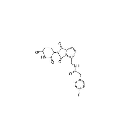 O=C(Cc1ccc(F)cc1)NCc1cccc2c1C(=O)N(C1CCC(=O)NC1=O)C2=O